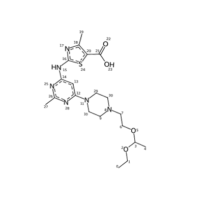 CCOC(C)OCCN1CCN(c2cc(Nc3nc(C)c(C(=O)O)s3)nc(C)n2)CC1